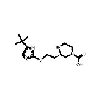 CC(C)(C)c1csc(SCC[C@@H]2CN(C(=O)O)CCN2)n1